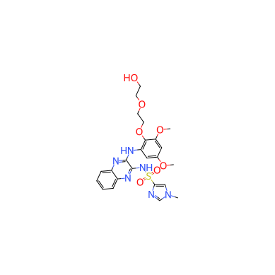 COc1cc(Nc2nc3ccccc3nc2NS(=O)(=O)c2cn(C)cn2)c(OCCOCCO)c(OC)c1